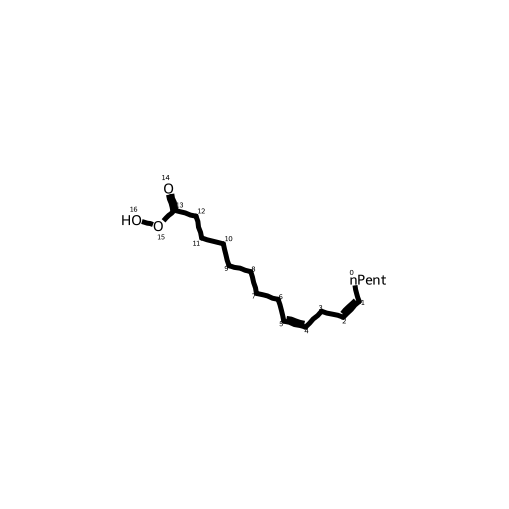 CCCCC/C=C\C/C=C\CCCCCCCC(=O)OO